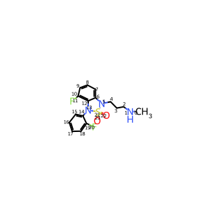 CNCCCN1c2cccc(F)c2N(c2ccccc2F)S1(=O)=O